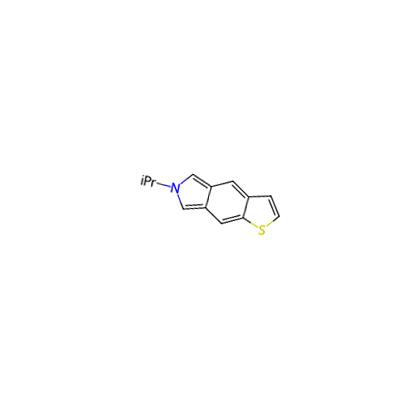 CC(C)n1cc2cc3ccsc3cc2c1